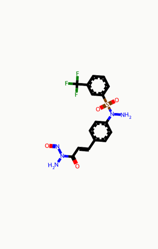 NN(N=O)C(=O)/C=C/c1ccc(N(N)S(=O)(=O)c2cccc(C(F)(F)F)c2)cc1